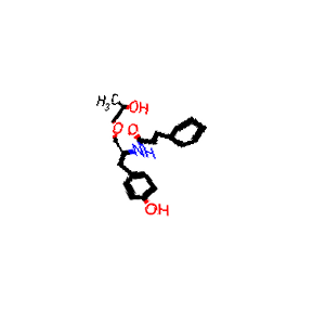 C[C@@H](O)COC[C@H](Cc1ccc(O)cc1)NC(=O)CCc1ccccc1